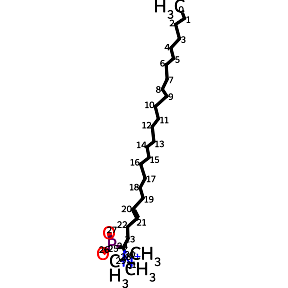 CCCCCCCCCCCCCCCCCCCCC=CCCC(P(=O)=O)[N+](C)(C)C